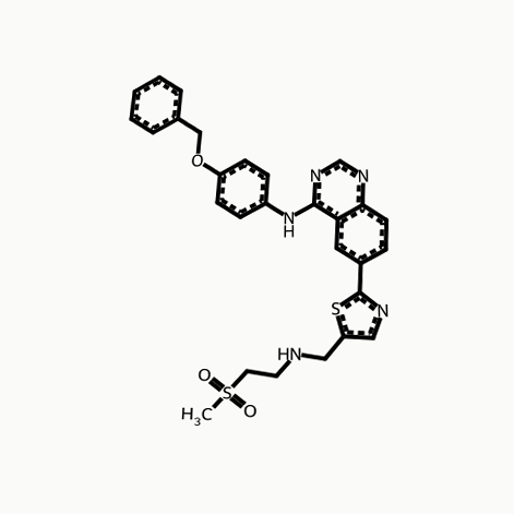 CS(=O)(=O)CCNCc1cnc(-c2ccc3ncnc(Nc4ccc(OCc5ccccc5)cc4)c3c2)s1